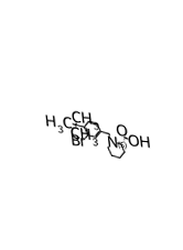 CC(C)(C)c1ccc(CN2CCCC[C@H]2C(=O)O)cc1Br